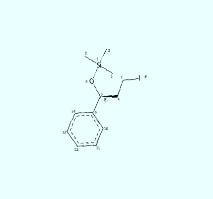 C[Si](C)(C)O[C@@H](CCI)c1ccccc1